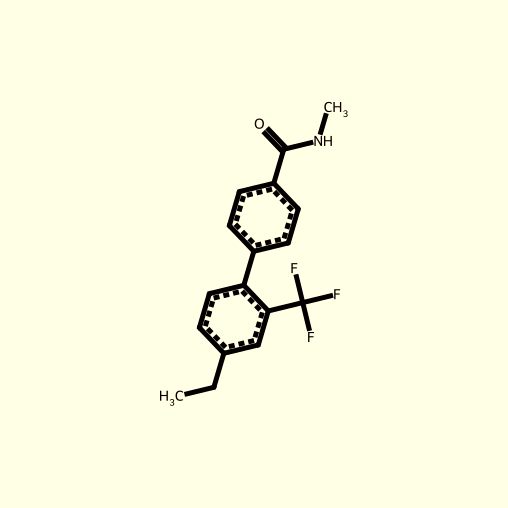 CCc1ccc(-c2ccc(C(=O)NC)cc2)c(C(F)(F)F)c1